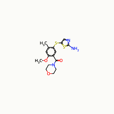 COc1cc(C)c(Sc2cnc(N)s2)cc1C(=O)N1CCOCC1